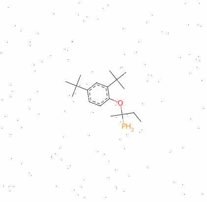 CCC(C)(P)Oc1ccc(C(C)(C)C)cc1C(C)(C)C